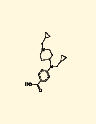 O=C(O)c1ccc(N(CC2CC2)C2CCN(CC3CC3)CC2)cc1